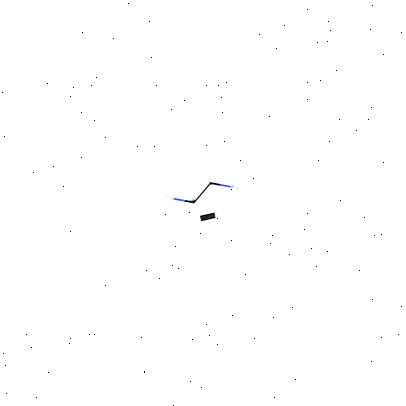 C=C.NCCN